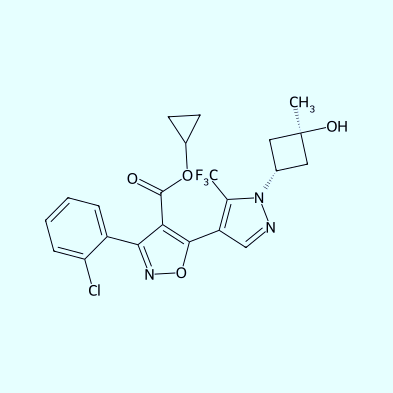 C[C@]1(O)C[C@H](n2ncc(-c3onc(-c4ccccc4Cl)c3C(=O)OC3CC3)c2C(F)(F)F)C1